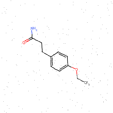 NC(=O)C[CH]c1ccc(OCC(F)(F)F)cc1